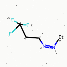 CC/N=N\CCC(F)(F)F